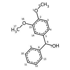 COc1ccc(C(O)c2ccccc2)cc1OC